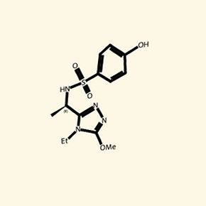 CCn1c(OC)nnc1[C@@H](C)NS(=O)(=O)c1ccc(O)cc1